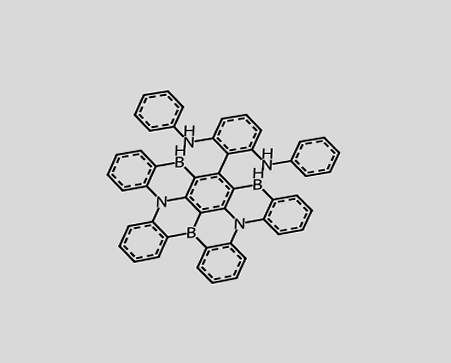 B1c2ccccc2N2c3ccccc3B3c4ccccc4N4c5ccccc5Bc5c(-c6c(Nc7ccccc7)cccc6Nc6ccccc6)c1c2c3c54